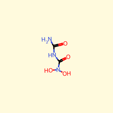 NC(=O)NC(=O)N(O)O